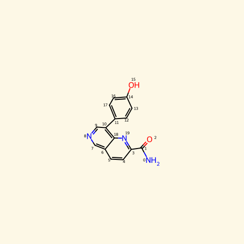 NC(=O)c1ccc2cncc(-c3ccc(O)cc3)c2n1